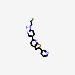 FCCNc1ccc(-c2ccc3cc(-c4cccnc4)sc3n2)cn1